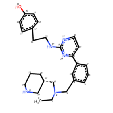 CCN(Cc1cccc(-c2ccnc(NCCc3ccc(O)cc3)n2)c1)C[C@H]1CCCNC1